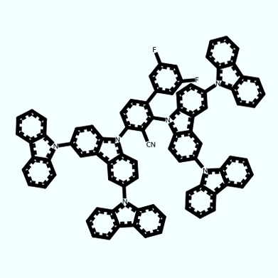 N#Cc1c(-n2c3ccc(-n4c5ccccc5c5ccccc54)cc3c3cc(-n4c5ccccc5c5ccccc54)ccc32)ccc(-c2cc(F)cc(F)c2)c1-n1c2ccc(-n3c4ccccc4c4ccccc43)cc2c2cc(-n3c4ccccc4c4ccccc43)ccc21